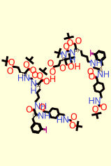 CC(C)(C)OC(=O)CC[C@H](NC(=O)N[C@@H](CCCCNC(=O)[C@H](Cc1cccc(I)c1)NC(=O)C1CCC(CNC(=O)OC(C)(C)C)CC1)C(=O)OC(C)(C)C)C(=O)OC(C)(C)C.CC(C)(C)OC(=O)NCC1CCC(C(=O)N[C@@H](Cc2cccc(I)c2)C(=O)NCCCC[C@H](NC(=O)N(C(C)(C)C)[C@@](CCC(=O)O)(C(=O)O)C(C)(C)C)C(=O)OC(C)(C)C)CC1